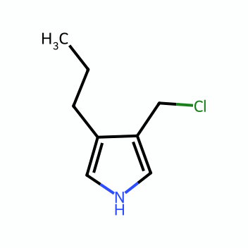 CCCc1c[nH]cc1CCl